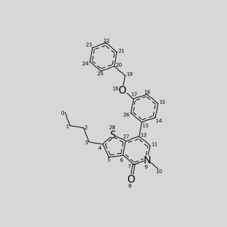 CCCCc1cc2c(=O)n(C)cc(-c3cccc(OCc4ccccc4)c3)c2s1